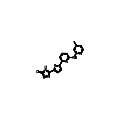 Cc1ccnc(Nc2cccc(-c3ccc(-c4noc(=O)[nH]4)s3)n2)c1